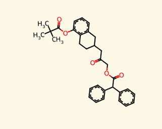 CC(C)(C)C(=O)Oc1cccc2c1CCC(CC(=O)COC(=O)C(c1ccccc1)c1ccccc1)C2